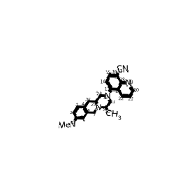 CNc1ccc2c(c1)CN1C(C)CN(C3=CC=C(C#N)C4N=CC=CC34)CC1C2